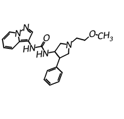 COCCN1CC(NC(=O)Nc2cnn3ccccc23)C(c2ccccc2)C1